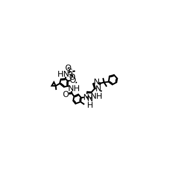 COc1c(NC(=O)c2ccc(C)c(N3C=C(c4cnc(C(C)(C)c5ccccc5)n4C)NN3)c2)cc(C2(C)CC2)cc1NS(C)(=O)=O